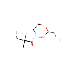 CC(C)(C)CC(C)(C)C(=O)N1CCOC(CO)C1